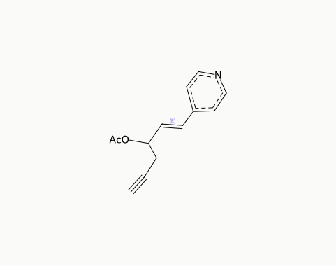 C#CCC(/C=C/c1ccncc1)OC(C)=O